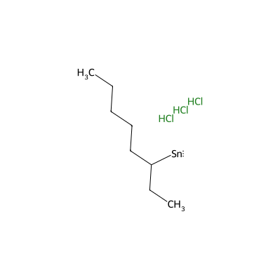 CCCCC[CH]([Sn])CC.Cl.Cl.Cl